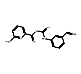 CNc1cccc(C(=N)OC(=N)Nc2cccc(C=N)c2)n1